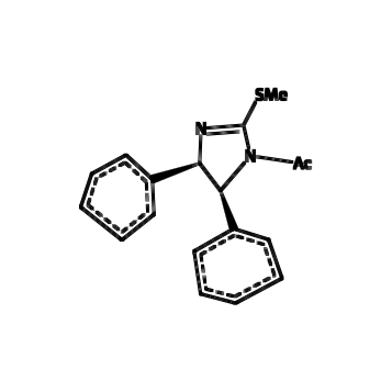 CSC1=N[C@H](c2ccccc2)[C@H](c2ccccc2)N1C(C)=O